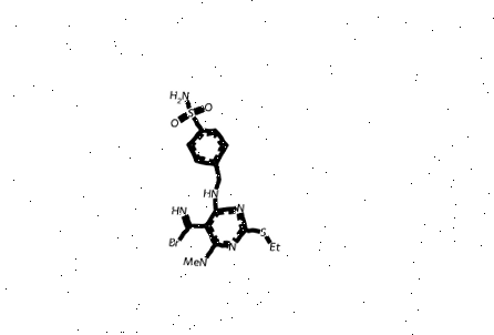 CCSc1nc(NC)c(C(=N)Br)c(NCc2ccc(S(N)(=O)=O)cc2)n1